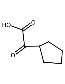 O=C(O)C(=O)C1CCCC1